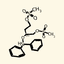 CS(=O)(=O)OCC[C@@H](COS(C)(=O)=O)O[SiH](c1ccccc1)c1ccccc1